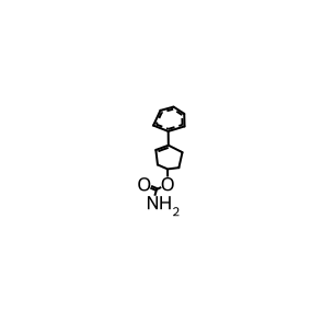 NC(=O)OC1CC=C(c2ccccc2)CC1